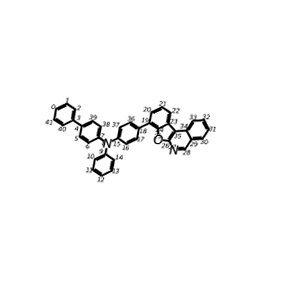 c1ccc(-c2ccc(N(c3ccccc3)c3ccc(-c4cccc5c4oc4ncc6ccccc6c45)cc3)cc2)cc1